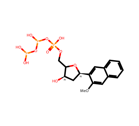 COc1cc2ccccc2cc1[C@H]1C[C@@H](O)C(COP(=O)(O)OP(O)OP(O)O)O1